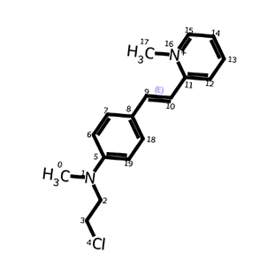 CN(CCCl)c1ccc(/C=C/c2cccc[n+]2C)cc1